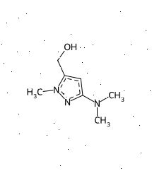 CN(C)c1cc(CO)n(C)n1